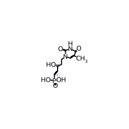 Cc1cn(CC[C@@H](O)/C=C/P(=O)(O)O)c(=O)[nH]c1=O